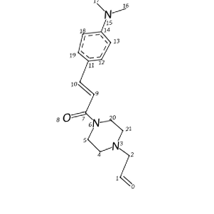 C=CCN1CCN(C(=O)C=Cc2ccc(N(C)C)cc2)CC1